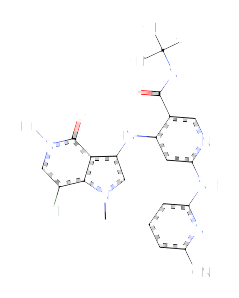 [2H]C([2H])([2H])NC(=O)c1cnc(Nc2cccc(C#N)n2)cc1Nc1cn(C)c2c(Cl)cn(CC)c(=O)c12